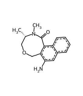 C[C@H]1COCc2c(N)cc3ccccc3c2C(=O)N1C